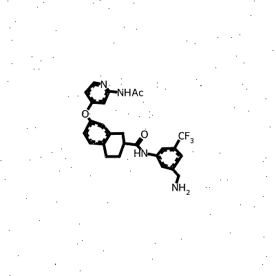 CC(=O)Nc1cc(Oc2ccc3c(c2)CC(C(=O)Nc2cc(CN)cc(C(F)(F)F)c2)CC3)ccn1